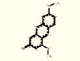 COc1ccc2nc3c(OC)cc(=O)cc-3sc2c1